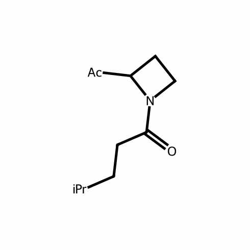 CC(=O)C1CCN1C(=O)CCC(C)C